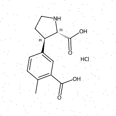 Cc1ccc([C@H]2CCN[C@@H]2C(=O)O)cc1C(=O)O.Cl